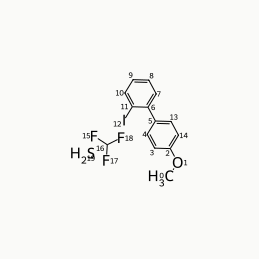 COc1ccc(-c2ccccc2I)cc1.FC(F)F.S